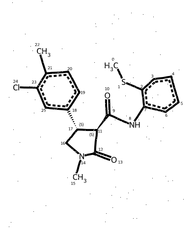 CSc1ccccc1NC(=O)[C@H]1C(=O)N(C)C[C@@H]1c1ccc(C)c(Cl)c1